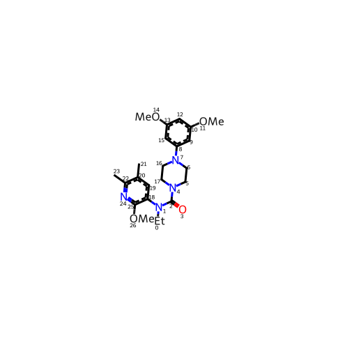 CCN(C(=O)N1CCN(c2cc(OC)cc(OC)c2)CC1)c1cc(C)c(C)nc1OC